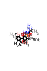 C=C(C)c1ccc(C)cc1-c1c(O)cc(CCCCC)c(S(=O)(=O)NC(=O)C(C)N)c1O